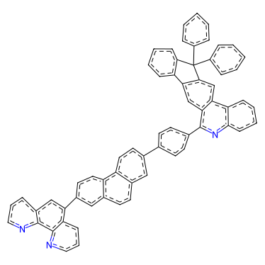 c1ccc(C2(c3ccccc3)c3ccccc3-c3cc4c(-c5ccc(-c6ccc7c(ccc8cc(-c9cc%10cccnc%10c%10ncccc9%10)ccc87)c6)cc5)nc5ccccc5c4cc32)cc1